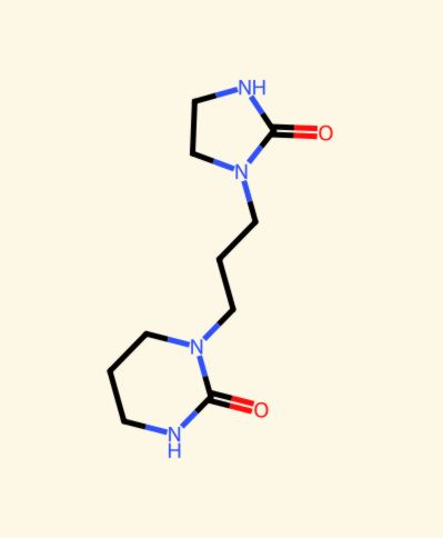 O=C1NCCCN1CCCN1CCNC1=O